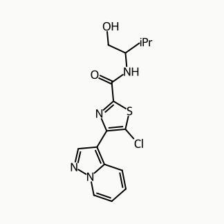 CC(C)C(CO)NC(=O)c1nc(-c2cnn3ccccc23)c(Cl)s1